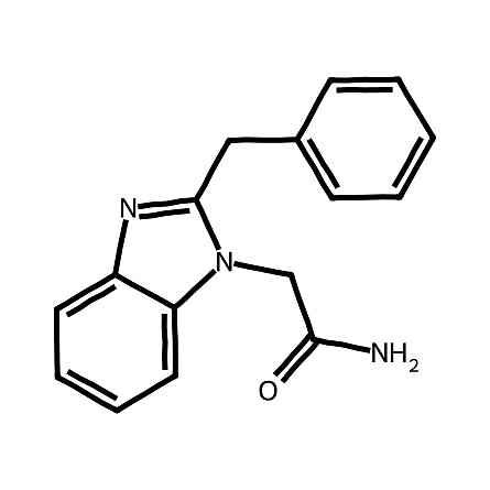 NC(=O)Cn1c(Cc2ccccc2)nc2ccccc21